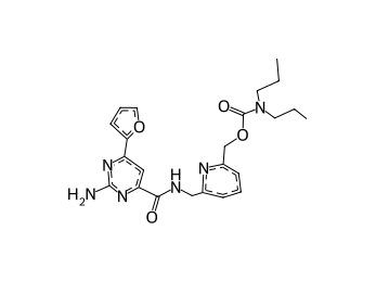 CCCN(CCC)C(=O)OCc1cccc(CNC(=O)c2cc(-c3ccco3)nc(N)n2)n1